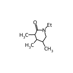 CCN1CC(C)C(C)C(C)C1=O